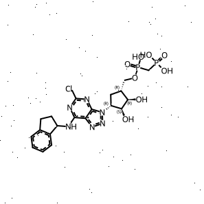 O=P(O)(O)CP(=O)(O)OC[C@H]1C[C@@H](n2nnc3c(NC4CCc5ccccc54)nc(Cl)nc32)[C@H](O)[C@@H]1O